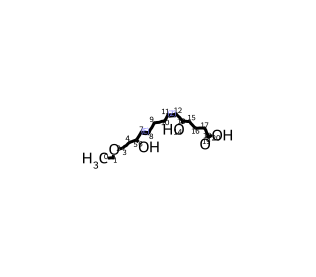 CCOCCC(O)/C=C/CC/C=C\C(O)CCCC(=O)O